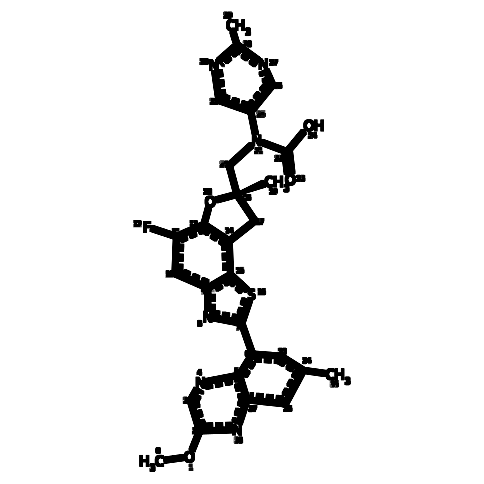 COc1cnc2c(-c3nc4cc(F)c5c(c4s3)C[C@@](C)(CN(C(=O)O)c3cnc(C)nc3)O5)cc(C)cc2n1